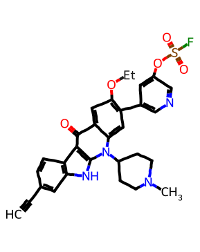 C#Cc1ccc2c(c1)[nH]c1c2c(=O)c2cc(OCC)c(-c3cncc(OS(=O)(=O)F)c3)cc2n1C1CCN(C)CC1